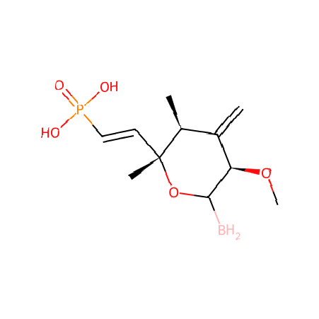 BC1O[C@](C)(/C=C/P(=O)(O)O)[C@@H](C)C(=C)[C@H]1OC